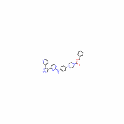 O=C(OCc1ccccc1)N1CCN(c2ccc(Nc3nccc(-c4c[nH]nc4-c4cccnc4)n3)cc2)CC1